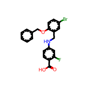 O=C(O)c1ccc(NCc2cc(Br)ccc2OCc2ccccc2)cc1F